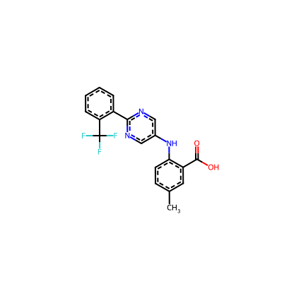 Cc1ccc(Nc2cnc(-c3ccccc3C(F)(F)F)nc2)c(C(=O)O)c1